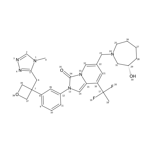 Cn1cnnc1CC1(c2cccc(-n3cc4c(C(C)(F)F)cc(CN5CCCC[C@H](O)C5)cn4c3=O)c2)COC1